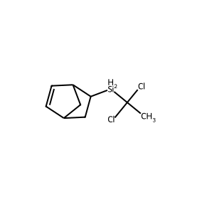 CC(Cl)(Cl)[SiH2]C1CC2C=CC1C2